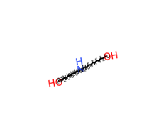 OCCCCCCCCCCCCNCCCCCCCCCCO